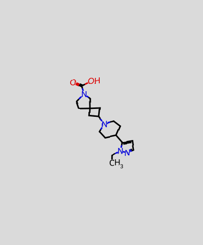 CCn1nccc1C1CCN(C2CC3(CCN(C(=O)O)C3)C2)CC1